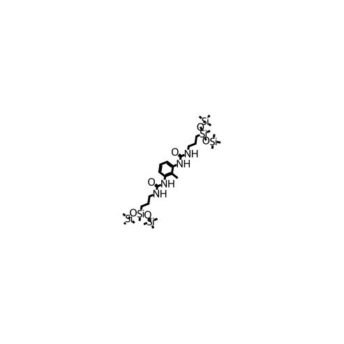 Cc1c(NC(=O)NCCC[Si](C)(O[Si](C)(C)C)O[Si](C)(C)C)cccc1NC(=O)NCCC[Si](C)(O[Si](C)(C)C)O[Si](C)(C)C